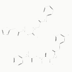 CC(C)C(NC(=O)Cc1cc(F)cc(F)c1)C(=O)NCC(=O)Nc1ccccc1.C[C@H](NC(=O)Cc1cccs1)C(=O)NCC(=O)Nc1ccccc1